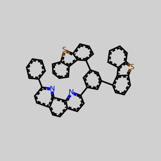 c1ccc(-c2ccc3ccc4ccc(-c5cc(-c6cccc7sc8ccccc8c67)cc(-c6cccc7sc8ccccc8c67)c5)nc4c3n2)cc1